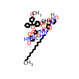 CCCCCCCCCCCCCCCCCN(C[C@H]1[CH][C@@H](OC)[C@H](n2ccc(=O)[nH]c2=O)O1)C(=O)NC[C@H]1[C@@H](OC)[C@H](n2ccc(=O)[nH]c2=O)O[C@@H]1COC(c1ccccc1)(c1ccc(OC)cc1)c1ccc(OC)cc1